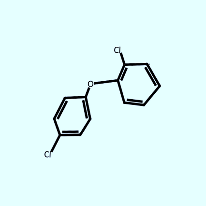 Clc1ccc(Oc2ccc[c]c2Cl)cc1